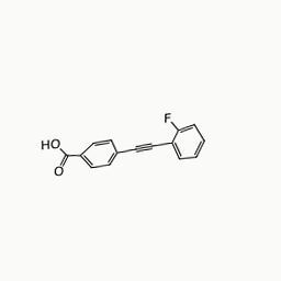 O=C(O)c1ccc(C#Cc2ccccc2F)cc1